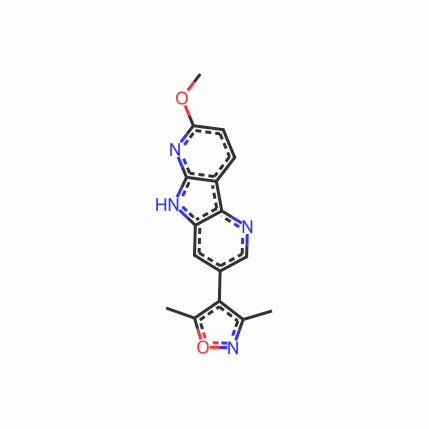 COc1ccc2c(n1)[nH]c1cc(-c3c(C)noc3C)cnc12